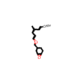 COCCC(C)CCCOCC1CCC2OC2C1